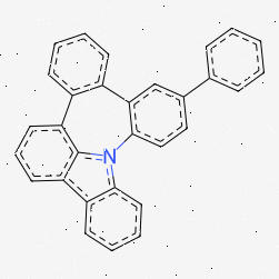 c1ccc(-c2ccc3c(c2)-c2ccccc2-c2cccc4c5ccccc5n-3c24)cc1